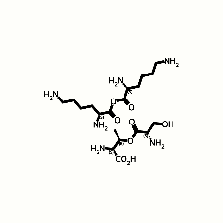 C[C@@H](OC(=O)[C@@H](N)CO)[C@H](N)C(=O)O.NCCCC[C@H](N)C(=O)OC(=O)[C@@H](N)CCCCN